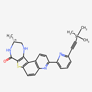 C[C@@H]1CNc2c(sc3ccc4nc(-c5cccc(C#C[Si](C)(C)C)n5)ccc4c23)C(=O)N1